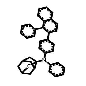 c1ccc(-c2c(-c3ccc(N(c4ccccc4)C45CC6CC(CC4C6)C5)cc3)ccc3ccccc23)cc1